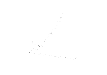 C=C(CCCCCCCCCCCCCCCCCCC)OC(COC)COC(=O)CCCCCCCCCCCCCCCCC